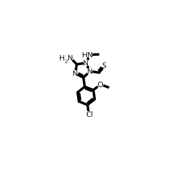 CNN1C(N)N=C(c2ccc(Cl)cc2OC)N1C=S